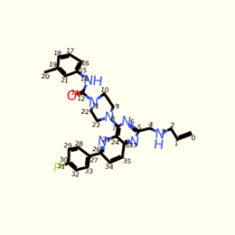 C=CCNCc1nc(N2CCN(C(=O)Nc3cccc(C)c3)CC2)c2nc(-c3ccc(F)cc3)ccc2n1